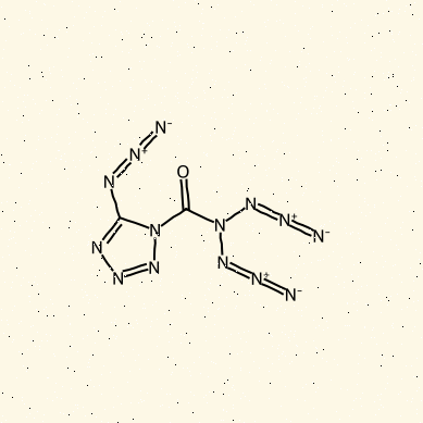 [N-]=[N+]=Nc1nnnn1C(=O)N(N=[N+]=[N-])N=[N+]=[N-]